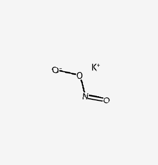 O=NO[O-].[K+]